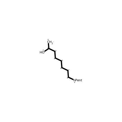 [CH2]C(O)CCCCCCCCCCC